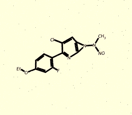 CCOc1ccc(-c2nc3c(cc2Cl)N3N(C)N=O)c(F)c1